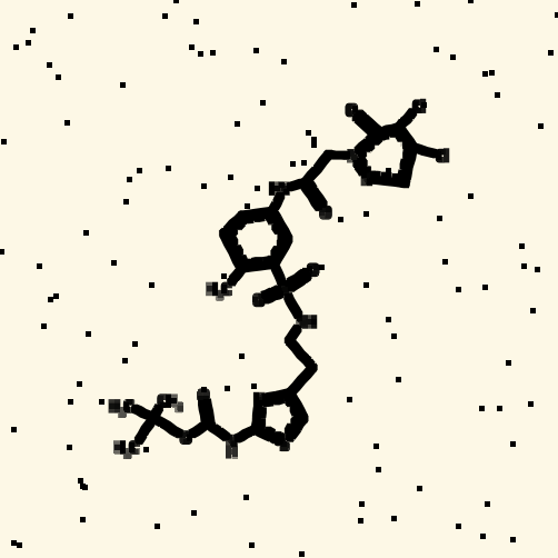 Cc1ccc(NC(=O)Cn2ncc(Cl)c(Cl)c2=O)cc1S(=O)(=O)NCCc1csc(NC(=O)OC(C)(C)C)n1